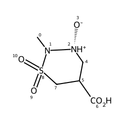 CN1[N@H+]([O-])CC(C(=O)O)CS1(=O)=O